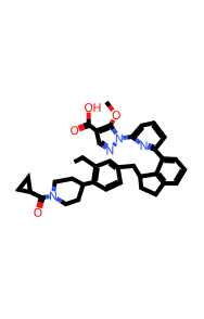 CCc1cc(CC2CCc3cccc(-c4cccc(-n5ncc(C(=O)O)c5OC)n4)c32)ccc1C1CCN(C(=O)C2CC2)CC1